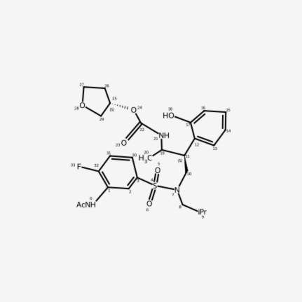 CC(=O)Nc1cc(S(=O)(=O)N(CC(C)C)C[C@H](c2ccccc2O)C(C)NC(=O)O[C@H]2CCOC2)ccc1F